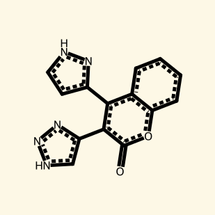 O=c1oc2ccccc2c(-c2cc[nH]n2)c1-c1c[nH]nn1